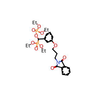 CCOP(=O)(OCC)OC(c1cccc(OCCCN2C(=O)c3ccccc3C2=O)c1)P(=O)(OCC)OCC